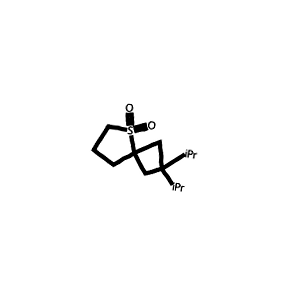 CC(C)C1(C(C)C)CC2(CCCS2(=O)=O)C1